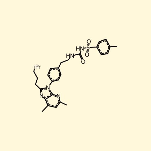 Cc1ccc(S(=O)(=O)NC(=O)NCCc2ccc(-n3c(CCCC(C)C)nc4c(C)cc(C)nc43)cc2)cc1